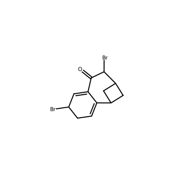 O=C1C2=CC(Br)CC=C2C2CC(C2)C1Br